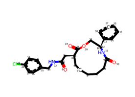 O=C(C[C@@H]1CCCCCC(=O)N[C@H](c2ccccc2)COC1=O)NCc1ccc(Cl)cc1